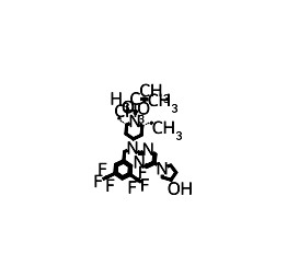 CC[C@@H]1C[C@H](N(Cc2cc(C(F)(F)F)cc(C(F)(F)F)c2)c2ncc(N3CC[C@H](O)C3)cn2)C[C@H](CC)N1C(=O)OC(C)(C)C